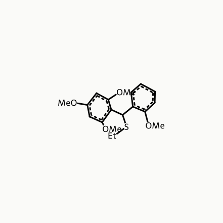 CCSC(c1ccccc1OC)c1c(OC)cc(OC)cc1OC